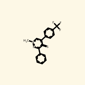 Cn1cc(-c2ccc(C(F)(F)F)cc2)c(=S)c(-c2ccccc2)n1